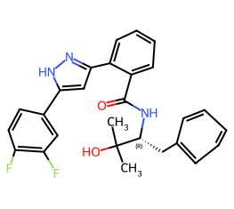 CC(C)(O)[C@@H](Cc1ccccc1)NC(=O)c1ccccc1-c1cc(-c2ccc(F)c(F)c2)[nH]n1